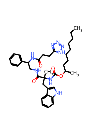 CCCCCCCCC(C)OC(=O)NC(C)(Cc1c[nH]c2ccccc12)C(=O)NCC(NC(=O)CCc1nnn[nH]1)c1ccccc1